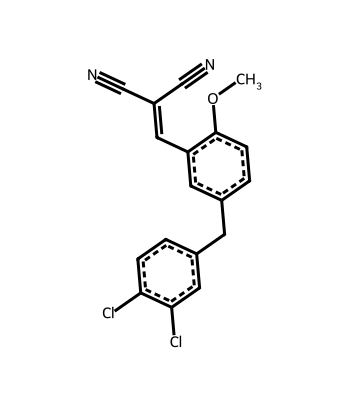 COc1ccc(Cc2ccc(Cl)c(Cl)c2)cc1C=C(C#N)C#N